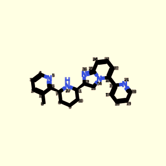 Cc1cccnc1[C@@H]1CCC[C@H](C2CN3C(c4ccccn4)=CC=CC3=N2)N1